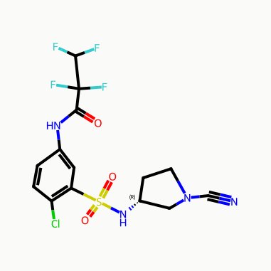 N#CN1CC[C@@H](NS(=O)(=O)c2cc(NC(=O)C(F)(F)C(F)F)ccc2Cl)C1